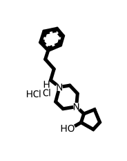 Cl.Cl.OC1CCCC1N1CCN(CCCc2ccccc2)CC1